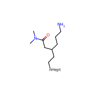 CCCCCCCCCC(CCCN)CC(=O)N(C)C